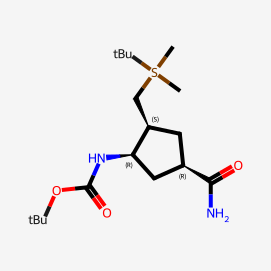 CC(C)(C)OC(=O)N[C@@H]1C[C@H](C(N)=O)C[C@@H]1CS(C)(C)C(C)(C)C